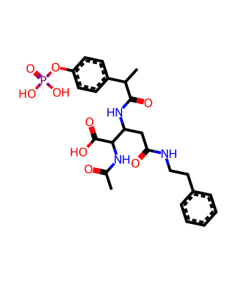 CC(=O)NC(C(=O)O)C(CC(=O)NCCc1ccccc1)NC(=O)C(C)c1ccc(OP(=O)(O)O)cc1